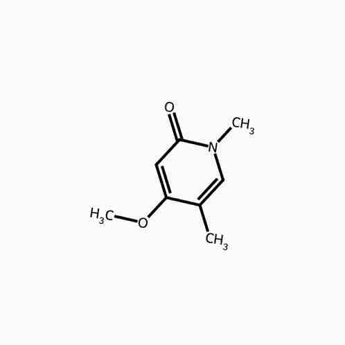 COc1cc(=O)n(C)cc1C